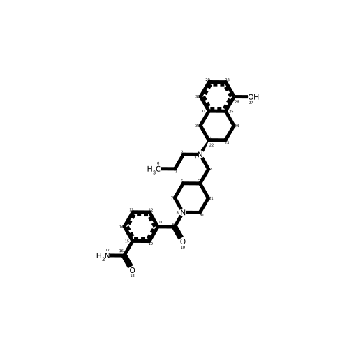 CCCN(CC1CCN(C(=O)c2cccc(C(N)=O)c2)CC1)[C@@H]1CCc2c(O)cccc2C1